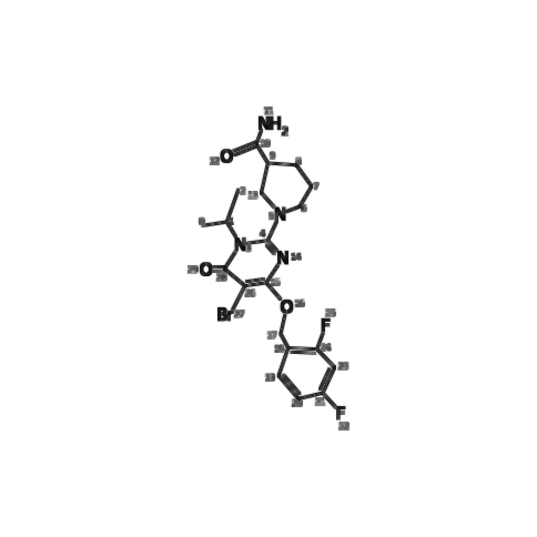 CC(C)n1c(N2CCCC(C(N)=O)C2)nc(OCc2ccc(F)cc2F)c(Br)c1=O